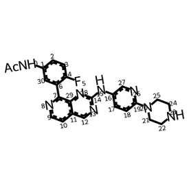 CC(=O)Nc1ccc(F)c(-c2nccc3cnc(Nc4ccc(N5CCNCC5)nc4)nc23)c1